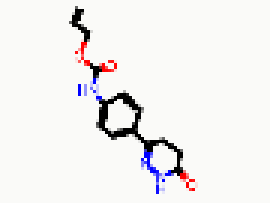 C=CCOC(=O)Nc1ccc(C2=NNC(=O)CC2)cc1